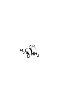 C=O.CN